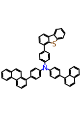 c1ccc2c(-c3ccc(N(c4ccc(-c5cccc6c5ccc5ccccc56)cc4)c4ccc(-c5cccc6c5sc5ccccc56)cc4)cc3)cccc2c1